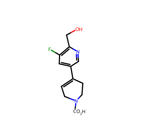 O=C(O)N1CC=C(c2cnc(CO)c(F)c2)CC1